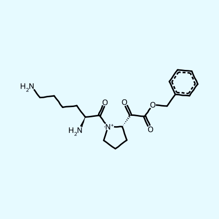 NCCCC[C@H](N)C(=O)[N+]1CCC[C@H]1C(=O)C(=O)OCc1ccccc1